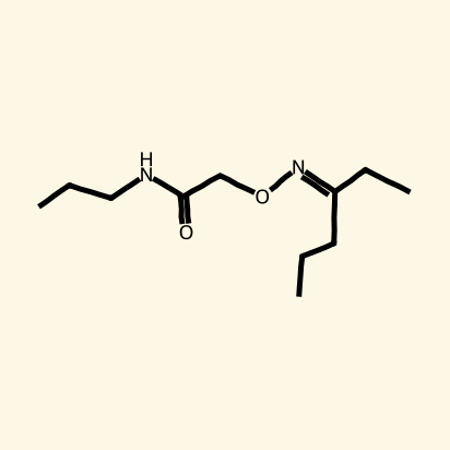 CCCNC(=O)CO/N=C(/CC)CCC